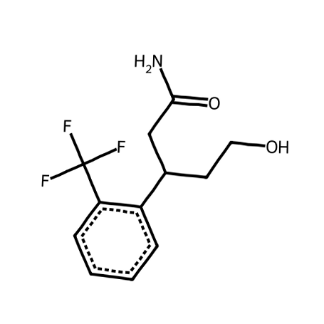 NC(=O)CC(CCO)c1ccccc1C(F)(F)F